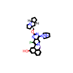 Oc1cc(-c2ncc3c(N4CC5CCC(C4)N5)nc(OC[C@@]45CCCN4[C@@H]4CCC[C@@H]4C5)nc3c2F)c2c(I)cccc2c1